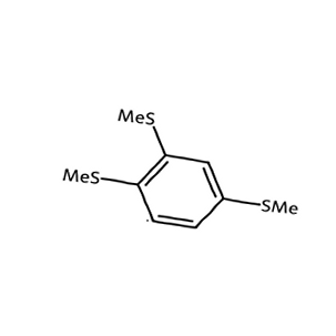 CSc1c[c]c(SC)c(SC)c1